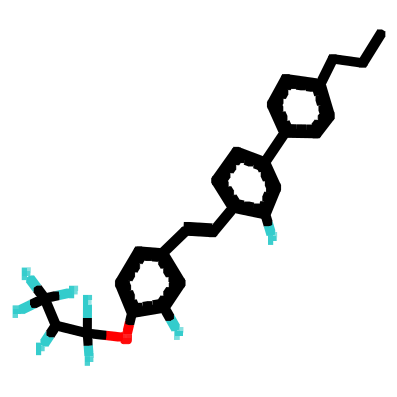 CCCc1ccc(-c2ccc(C=Cc3ccc(OC(F)(F)C(F)C(F)(F)F)c(F)c3)c(F)c2)cc1